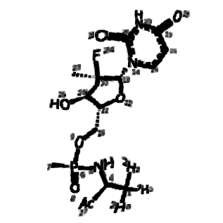 [2H]C([2H])([2H])[C@H](N[P@](C)(=O)OC[C@H]1O[C@@H](n2ccc(=O)[nH]c2=O)[C@](C)(F)[C@@H]1O)C(C)=O